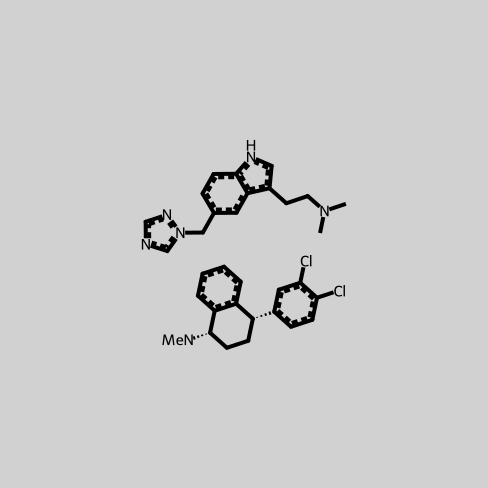 CN(C)CCc1c[nH]c2ccc(Cn3cncn3)cc12.CN[C@H]1CC[C@@H](c2ccc(Cl)c(Cl)c2)c2ccccc21